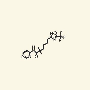 CC(C)(CCCCc1noc(C(F)(F)F)n1)C(=O)Nc1ccncn1